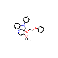 COC1=CC=NCC1(CN(c1ccccc1)c1ccccc1)OCCOc1ccccc1